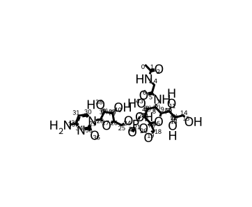 CC(=O)NCC(=O)N[C@H]1C([C@H](O)[C@H](O)CO)O[C@@](C=O)(OP(=O)(O)OCC2OC(n3ccc(N)nc3=O)[C@H](O)[C@@H]2O)C[C@H]1O